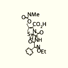 CCON=C(C(=O)N[C@@H]1C(=O)N2C(C(=O)O)=C(COC(=O)NC)CS[C@H]12)c1ccccc1